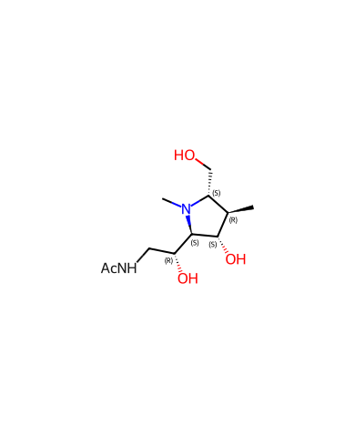 CC(=O)NC[C@@H](O)[C@@H]1[C@@H](O)[C@H](C)[C@@H](CO)N1C